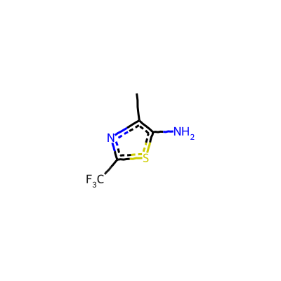 Cc1nc(C(F)(F)F)sc1N